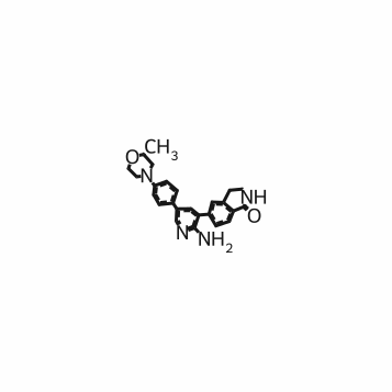 CC1CN(c2ccc(-c3cnc(N)c(-c4ccc5c(c4)CCNC5=O)c3)cc2)CCO1